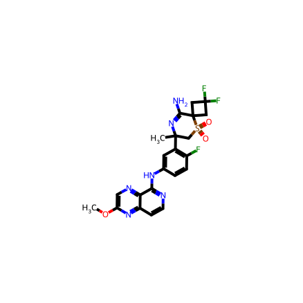 COc1cnc2c(Nc3ccc(F)c(C4(C)CS(=O)(=O)C5(CC(F)(F)C5)C(N)=N4)c3)nccc2n1